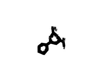 Nc1nc(NI)cc(-c2ccccc2)n1